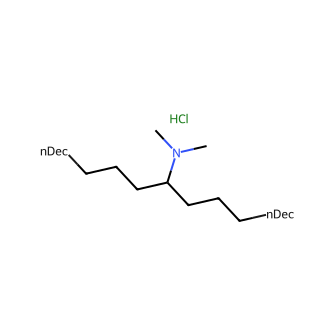 CCCCCCCCCCCCCC(CCCCCCCCCCCCC)N(C)C.Cl